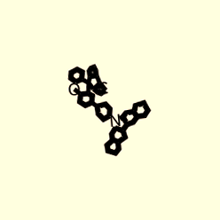 c1ccc2c(c1)Oc1ccc(-c3ccc(-n4c5cc6ccccc6cc5c5cc6ccccc6cc54)cc3)cc1C21c2ccccc2-c2ccccc21